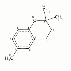 Cc1ccc2c(c1)CCC(C)(C)O2